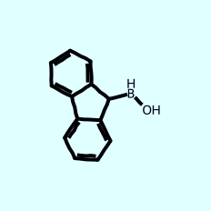 OBC1c2ccccc2-c2ccccc21